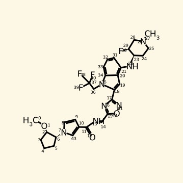 CO[C@H]1CCC[C@H]1n1ccc(C(=O)NCc2nc(-c3cc4c(N[C@@H]5CCN(C)C[C@@H]5F)cccc4n3CC(F)(F)F)no2)c1